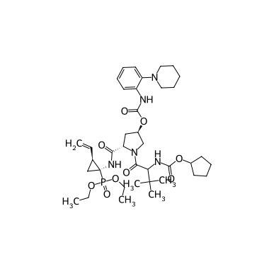 C=C[C@@H]1C[C@]1(NC(=O)[C@@H]1C[C@@H](OC(=O)Nc2ccccc2N2CCCCC2)CN1C(=O)C(NC(=O)OC1CCCC1)C(C)(C)C)P(=O)(OCC)OCC